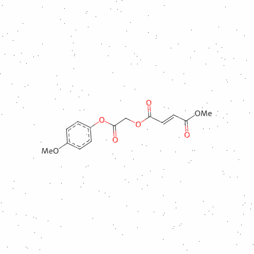 COC(=O)/C=C/C(=O)OCC(=O)Oc1ccc(OC)cc1